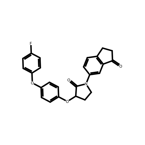 O=C1CCc2ccc(N3CCC(Oc4ccc(Oc5ccc(F)cc5)cc4)C3=O)cc21